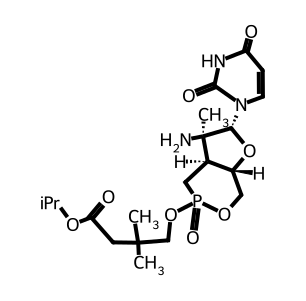 CC(C)OC(=O)CC(C)(C)COP1(=O)C[C@@H]2[C@@H](CO1)O[C@@H](n1ccc(=O)[nH]c1=O)[C@]2(C)N